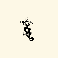 O=C1NCC(c2ccc3[nH]c(-c4cccs4)cc3c2)=NN1